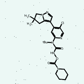 CC1(C)Cc2c(-c3cc(N(C(=O)NOC(=O)N4CCCCC4)C(C)(C)C)ncc3Cl)cnn2C1